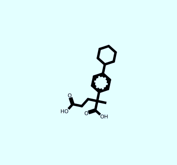 CC(CCC(=O)O)(C(=O)O)c1ccc(C2CCCCC2)cc1